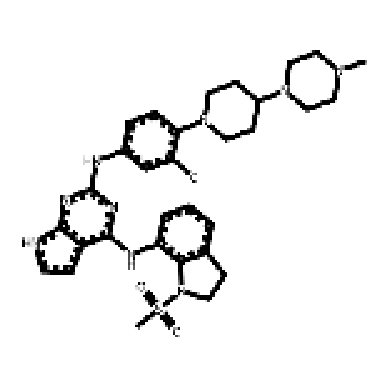 CN1CCN(C2CCN(c3ccc(Nc4nc(Nc5cccc6c5N(S(C)(=O)=O)CC6)c5cc[nH]c5n4)cc3Cl)CC2)CC1